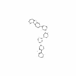 c1cc(-c2cccc(-c3ccc4c(c3)sc3ccccc34)c2)cc(-c2cccc(-c3ccc4c(c3)sc3ccccc34)c2)c1